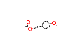 COc1ccc(C#COC(C)=O)cc1